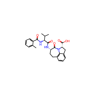 Cc1ccccc1C(=O)N[C@H](C(=O)N[C@H]1CCc2cccc3c2N(C1=O)[C@H](C(=O)O)C3)C(C)C